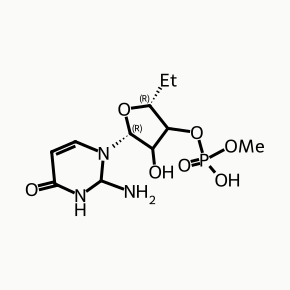 CC[C@H]1O[C@@H](N2C=CC(=O)NC2N)C(O)C1OP(=O)(O)OC